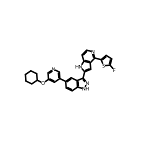 Fc1ccc(-c2nccc3[nH]c(-c4n[nH]c5ccc(-c6cncc(OC7CCCCC7)c6)cc45)cc23)s1